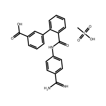 CS(=O)(=O)O.N=C(N)c1ccc(NC(=O)c2ccccc2-c2cccc(C(=O)O)c2)cc1